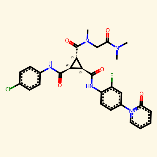 CN(C)C(=O)CN(C)C(=O)[C@H]1[C@H](C(=O)Nc2ccc(Cl)cc2)[C@@H]1C(=O)Nc1ccc(-n2ccccc2=O)cc1F